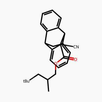 CC(COC(=O)C1(C#N)CC2c3ccccc3C1c1ccccc12)CC(C)(C)C